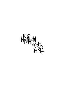 Nc1nccnc1C(=O)Nc1cnn(Cc2cccc(C(=O)NC3CC3)c2F)c1